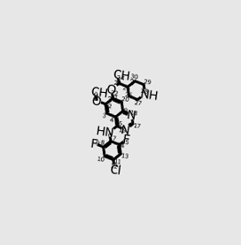 COc1cc2c(Nc3c(F)cc(Cl)cc3F)ncnc2cc1OC(C)C1CCNCC1